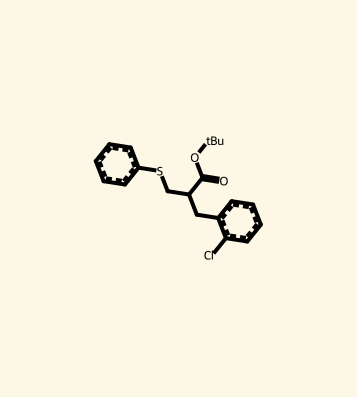 CC(C)(C)OC(=O)C(CSc1ccccc1)Cc1ccccc1Cl